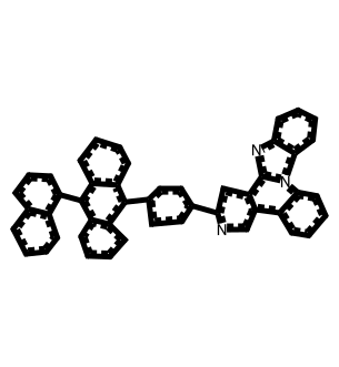 c1ccc2c(-c3c4ccccc4c(-c4ccc(-c5cc6c(cn5)c5ccccc5n5c7ccccc7nc65)cc4)c4ccccc34)cccc2c1